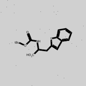 CC(C)(C)OC(=O)NC(Cc1cc2ccccc2s1)C(=O)O